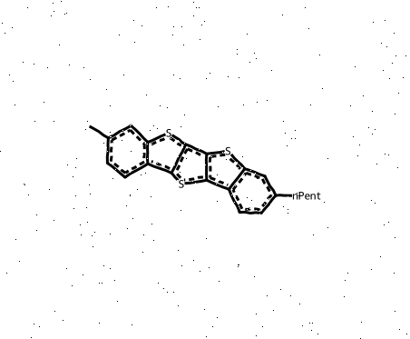 CCCCCc1ccc2c(c1)sc1c2sc2c3ccc(C)cc3sc21